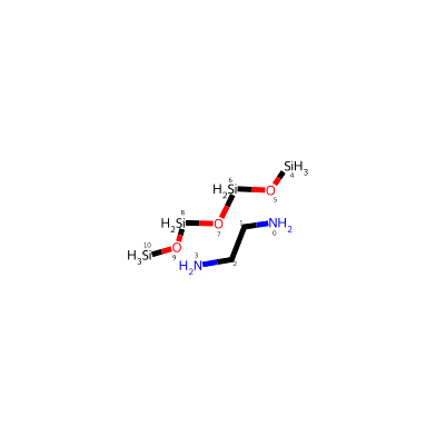 NCCN.[SiH3]O[SiH2]O[SiH2]O[SiH3]